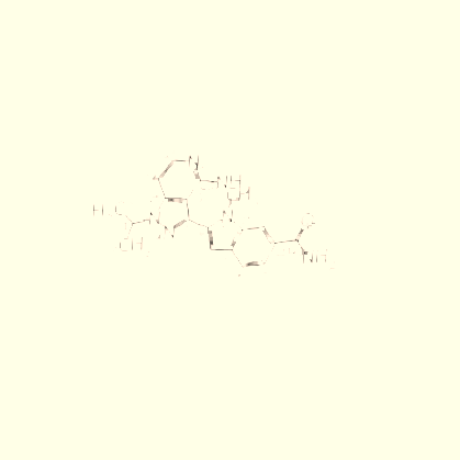 CC(C)n1nc(-c2cc3ccc(C(N)=O)cc3n2C)c2c(N)nccc21